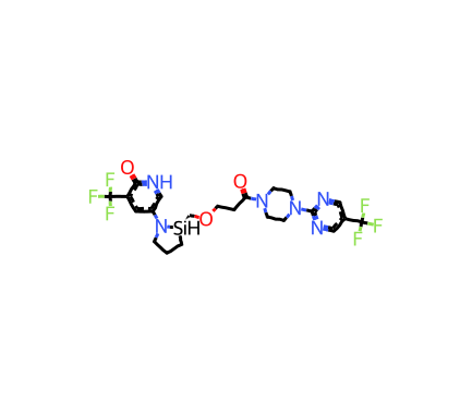 O=C(CCOC[Si@@H]1CCCN1c1c[nH]c(=O)c(C(F)(F)F)c1)N1CCN(c2ncc(C(F)(F)F)cn2)CC1